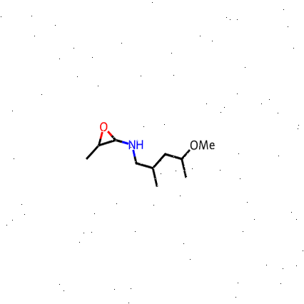 COC(C)CC(C)CNC1OC1C